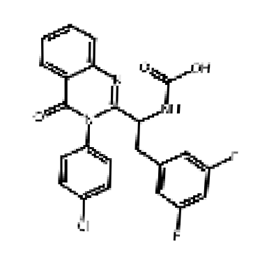 O=C(O)NC(Cc1cc(F)cc(F)c1)c1nc2ccccc2c(=O)n1-c1ccc(Cl)cc1